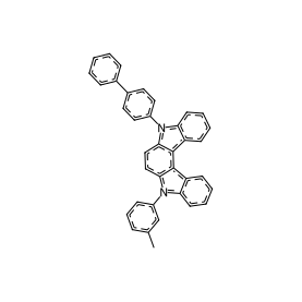 Cc1cccc(-n2c3ccccc3c3c4c5ccccc5n(-c5ccc(-c6ccccc6)cc5)c4ccc32)c1